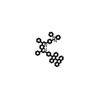 c1ccc(-c2cc(-c3ccc(-c4c5ccccc5c(-c5c6ccccc6cc6ccccc56)c5ccccc45)cc3)nc3c2ccc2c(-c4ccccc4)cc(-c4ccc(-c5nc6ccccc6n5-c5ccccc5)cc4)nc23)cc1